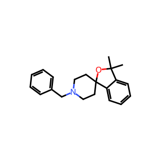 CC1(C)OC2(CCN(Cc3ccccc3)CC2)c2ccccc21